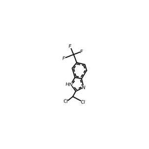 FC(F)(F)c1ccc2nc(C(Cl)Cl)[nH]c2c1